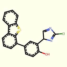 Oc1ccc(-c2cccc3c2sc2ccccc23)cc1C1C=NC(Cl)=N1